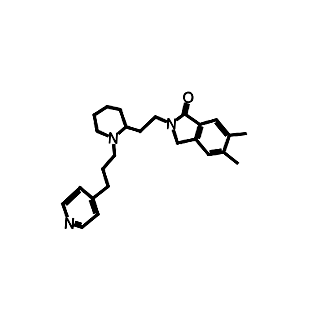 Cc1cc2c(cc1C)C(=O)N(CCC1CCCCN1CCCc1ccncc1)C2